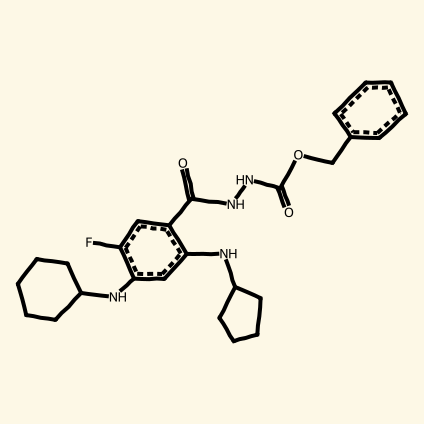 O=C(NNC(=O)c1cc(F)c(NC2CCCCC2)cc1NC1CCCC1)OCc1ccccc1